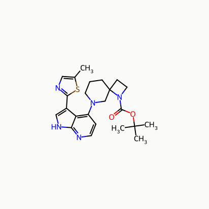 Cc1cnc(-c2c[nH]c3nccc(N4CCCC5(CCN5C(=O)OC(C)(C)C)C4)c23)s1